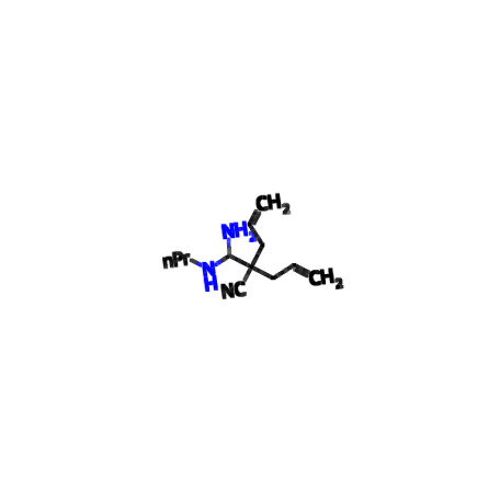 C=CCC(C#N)(CC=C)C(N)NCCC